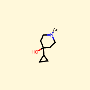 CC(=O)N1CCC(O)(C2CC2)CC1